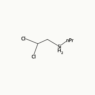 CCC[SiH2]CC(Cl)Cl